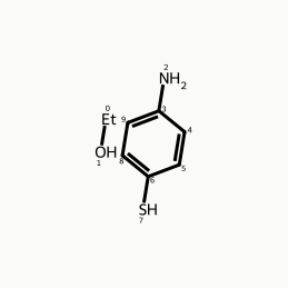 CCO.Nc1ccc(S)cc1